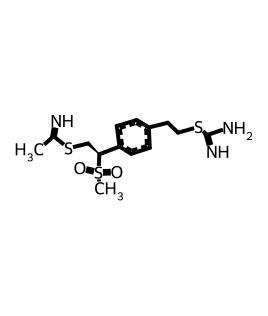 CC(=N)SC[C@@H](c1ccc(CCSC(=N)N)cc1)S(C)(=O)=O